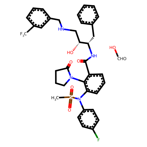 CS(=O)(=O)N(c1ccc(F)cc1)c1cccc(C(=O)N[C@@H](Cc2ccccc2)[C@H](O)CNCc2cccc(C(F)(F)F)c2)c1N1CCCC1=O.O=CO